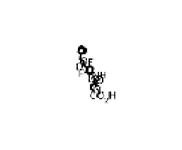 O=C(O)c1ccc(S(=O)(=O)Nc2cc(F)c(C(=O)OCc3ccccc3)c(F)c2)cn1